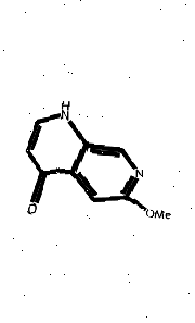 COc1cc2c(=O)cc[nH]c2cn1